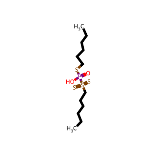 CCCCCCSP(=O)(O)S(=S)(=S)CCCCCC